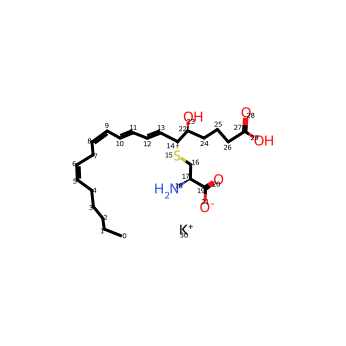 CCCCC/C=C\C\C=C/C=C/C=C/[C@@H](SC[C@H](N)C(=O)[O-])[C@@H](O)CCCC(=O)O.[K+]